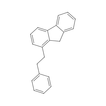 c1ccc(CCc2cccc3c2Cc2ccccc2-3)cc1